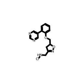 ClNCC1=NOC(COc2ccccc2-c2cncnc2)C1